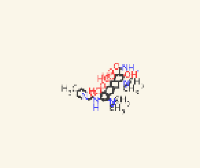 CC1CCN(CC(=O)Nc2cc(N(C)C)c3c(c2O)C(=O)C2=C(O)[C@]4(O)C(=O)C(C(N)=O)=C(O)[C@@H](N(C)C)C4CC2C3)CC1